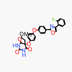 COCCC1(Oc2ccc(Oc3ccc(-c4nc(-c5ccccc5F)co4)cc3)cc2)C(=O)NC(=O)NC1=O